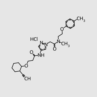 C#CC1CCCCC1OCCC(=O)Nc1cnn(CC(=O)N(C)CCOc2ccc(C)cc2)c1.Cl